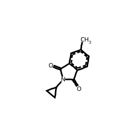 Cc1ccc2c(c1)C(=O)N(C1CC1)C2=O